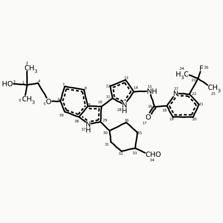 CC(C)(O)COc1ccc2c(-c3ccc(NC(=O)c4cccc(C(C)(C)F)n4)[nH]3)c(C3CCC(C=O)CC3)[nH]c2c1